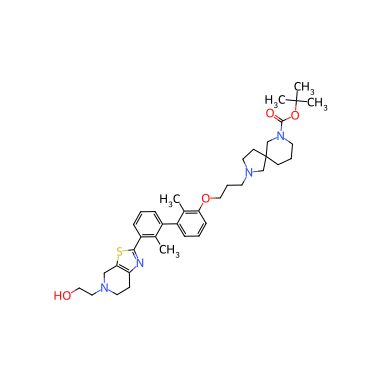 Cc1c(OCCCN2CCC3(CCCN(C(=O)OC(C)(C)C)C3)C2)cccc1-c1cccc(-c2nc3c(s2)CN(CCO)CC3)c1C